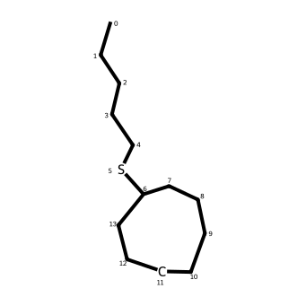 CCCCCSC1CCCCCCC1